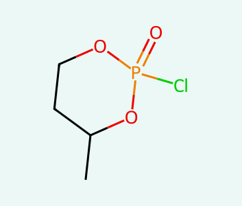 CC1CCOP(=O)(Cl)O1